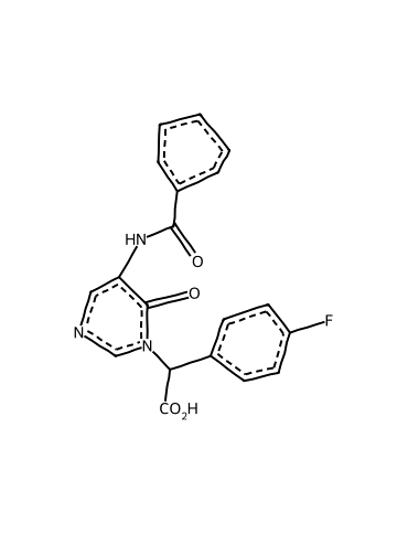 O=C(Nc1cncn(C(C(=O)O)c2ccc(F)cc2)c1=O)c1ccccc1